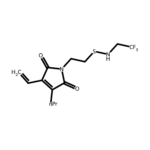 C=CC1=C(CCC)C(=O)N(CCSNCC(F)(F)F)C1=O